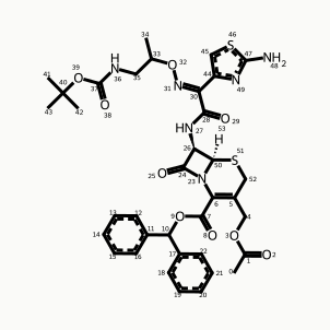 CC(=O)OCC1=C(C(=O)OC(c2ccccc2)c2ccccc2)N2C(=O)[C@@H](NC(=O)C(=NOC(C)CNC(=O)OC(C)(C)C)c3csc(N)n3)[C@H]2SC1